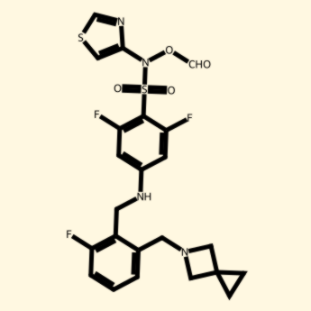 O=CON(c1cscn1)S(=O)(=O)c1c(F)cc(NCc2c(F)cccc2CN2CC3(CC3)C2)cc1F